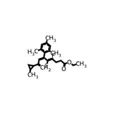 C=C(/C=C(\C(F)=C(/F)CCC(=O)OCC)c1c(C)cc(C)cc1C)C1CC1C